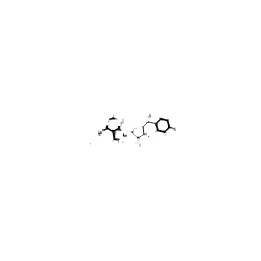 CO/N=c1/nc[nH]c2c1cnn2[C@@H]1O[C@H]([C@H](O)c2ccc(Cl)cc2)[C@@H](O)[C@H]1O